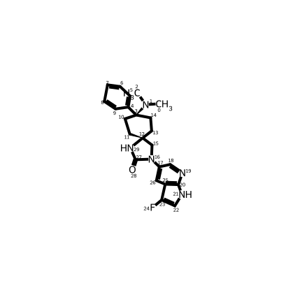 CN(C)[C@]1(c2ccccc2)CC[C@@]2(CC1)CN(c1cnc3[nH]cc(F)c3c1)C(=O)N2